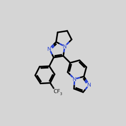 FC(F)(F)c1cccc(-c2nc3n(c2-c2ccc4nccn4c2)CCC3)c1